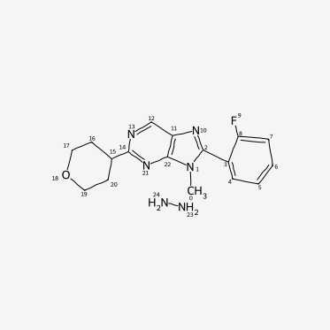 Cn1c(-c2ccccc2F)nc2cnc(C3CCOCC3)nc21.NN